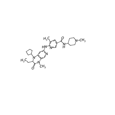 CCC1C(=O)N(C)c2cnc(Nc3ncc(C(=O)NC4CCN(C)CC4)cc3C)cc2N1C1CCCC1